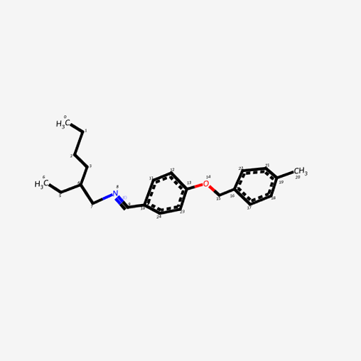 CCCCC(CC)C/N=C/c1ccc(OCc2ccc(C)cc2)cc1